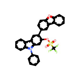 O=S(=O)(Oc1cc2c(cc1-c1ccc3oc4ccccc4c3c1)c1ccccc1n2-c1ccccc1)C(F)(F)F